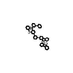 c1ccc(-c2cccc(N3c4ccccc4Sc4cc(-c5cccc(-c6ccc7c8ccccc8n(-c8cccc9c8oc8ccccc89)c7c6)c5)ccc43)c2)cc1